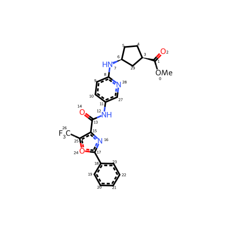 COC(=O)[C@@H]1CC[C@H](Nc2ccc(NC(=O)c3nc(-c4ccccc4)oc3C(F)(F)F)cn2)C1